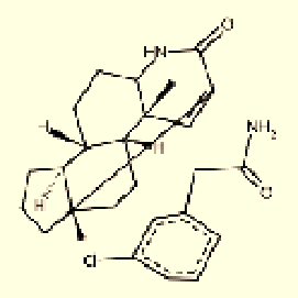 C[C@]12C=C3C(=O)NC1CC[C@@H]1[C@H]2CC[C@]2(C)C3CC[C@@H]12.NC(=O)Cc1cccc(Cl)c1